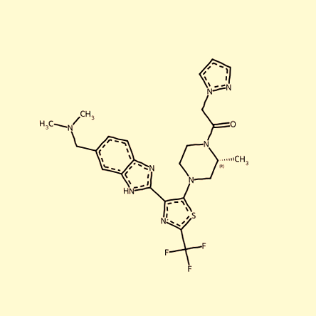 C[C@@H]1CN(c2sc(C(F)(F)F)nc2-c2nc3ccc(CN(C)C)cc3[nH]2)CCN1C(=O)Cn1cccn1